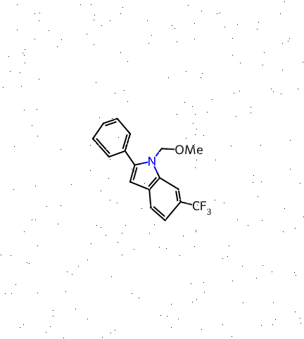 COCn1c(-c2ccccc2)cc2ccc(C(F)(F)F)cc21